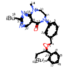 CCC(C)CC(OCc1cccc(N2CCN(C)c3nc(C(C)CC)ncc3C2=O)c1)c1ccccc1